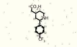 O=C(O)CC1CCNC(c2ccc(C(F)(F)F)cc2)C1